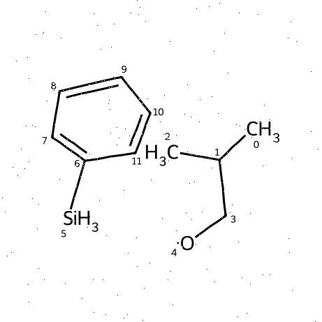 CC(C)C[O].[SiH3]c1ccccc1